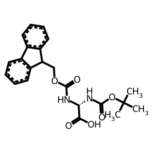 CC(C)(C)OC(=O)N[C@@H](NC(=O)OCC1c2ccccc2-c2ccccc21)C(=O)O